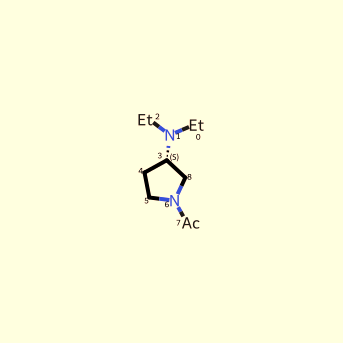 CCN(CC)[C@H]1CCN(C(C)=O)C1